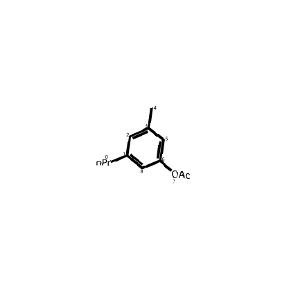 CCCc1cc(C)cc(OC(C)=O)c1